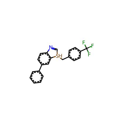 FC(F)(F)c1ccc(C[SH]2C=Nc3ccc(-c4ccccc4)cc32)cc1